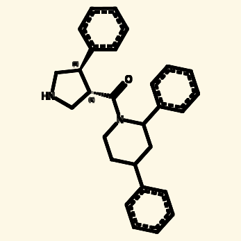 O=C([C@@H]1CNC[C@H]1c1ccccc1)N1CCC(c2ccccc2)CC1c1ccccc1